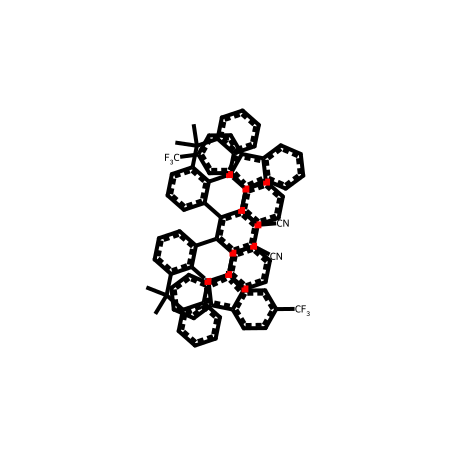 CC1(C)c2ccccc2N(c2ccccc2)c2c(-c3c(-c4cccc5c4N(c4ccccc4)c4ccccc4C5(C)C)c(-n4c5ccccc5c5ccc(C(F)(F)F)cc54)c(C#N)c(C#N)c3-n3c4ccccc4c4ccc(C(F)(F)F)cc43)cccc21